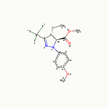 CC[C@H]1C(C(F)(F)F)=NN(c2ccc(OC)cc2)[C@@H]1C(=O)OC